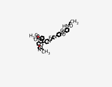 C=CC(=O)Nc1cccc(S(=O)(=O)c2ccc(N3CC(F)(CN4CCC([C@@](Cn5ccnc5CC)(c5cccc(F)c5)[C@H]5CCC[C@@H]5NC(=O)OC)CC4)C3)cc2)c1